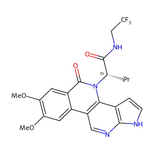 COc1cc2c(=O)n([C@H](C(=O)NCC(F)(F)F)C(C)C)c3c4cc[nH]c4ncc3c2cc1OC